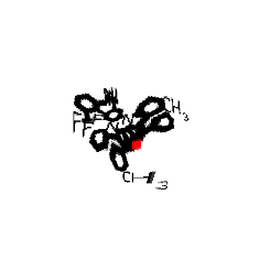 Cc1cccc(-c2ccc3c4ccccc4n(-c4cc(C#N)c(-c5c(C#N)cccc5C(F)(F)F)cc4-n4c5ccccc5c5ccc(-c6cccc(C)c6)cc54)c3c2)c1